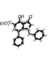 CCOC(=O)c1nc(-c2ccccc2)c2c(c(Cl)cn2Cc2ccccc2)c1O